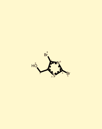 OCc1sc(Br)nc1Br